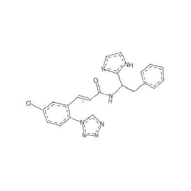 O=C(/C=C/c1cc(Cl)ccc1-n1cnnn1)NC(Cc1ccccc1)c1ncc[nH]1